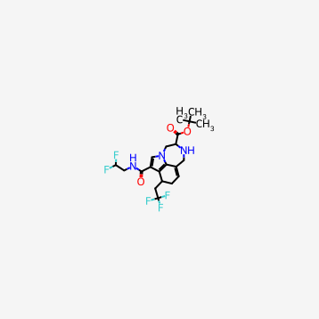 CC(C)(C)OC(=O)C1Cn2cc(C(=O)NCC(F)F)c3c2C(=CCC3CC(F)(F)F)CN1